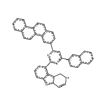 C1=Cc2oc3cccc(-c4nc(-c5ccc6ccccc6c5)nc(-c5ccc6ccc7c8ccccc8ccc7c6c5)n4)c3c2CN1